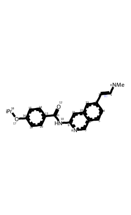 CN/C=C/c1ccc2cnc(NC(=O)c3ccc(OC(C)C)cc3)cc2c1